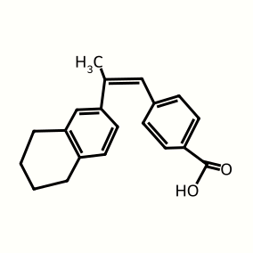 C/C(=C/c1ccc(C(=O)O)cc1)c1ccc2c(c1)CCCC2